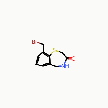 O=C1CSc2c(CBr)cccc2CN1